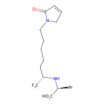 CC(C)[C@H](N[C@@H](CCCCCN1CC=CC1=O)C(F)(F)F)C(=O)O